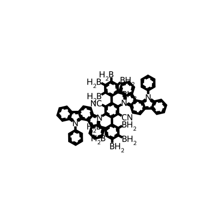 Bc1c(B)c(B)c(-c2c(C#N)c(-n3c4ccccc4c4c3ccc3c5ccccc5n(-c5ccccc5)c34)c(-c3c(B)c(B)c(B)c(B)c3B)c(C#N)c2-n2c3ccccc3c3c2ccc2c4ccccc4n(-c4ccccc4)c23)c(B)c1B